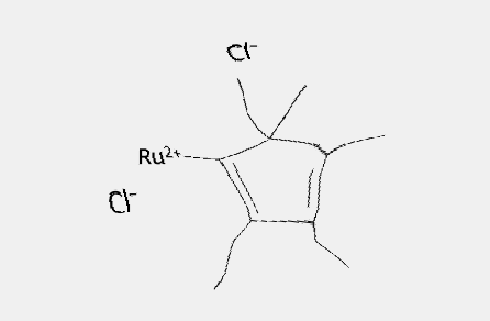 CC1=C(C)C(C)(C)[C]([Ru+2])=C1C.[Cl-].[Cl-]